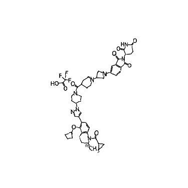 C[C@H]1CCc2c(ccc(-c3cnn(C4CCN(C(=O)C5CCN(C6CN(c7ccc8c(c7)C(=O)N(C7CCC(=O)NC7=O)C8=O)C6)CC5)CC4)c3)c2OC2CCC2)N1C(=O)C1CC1.O=C(O)C(F)(F)F